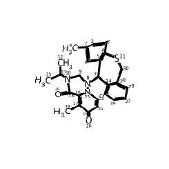 Cc1ccc2c(c1)C(N1CN(C(C)C)C(=O)c3c(C)c(=O)ccn31)c1ccccc1CS2